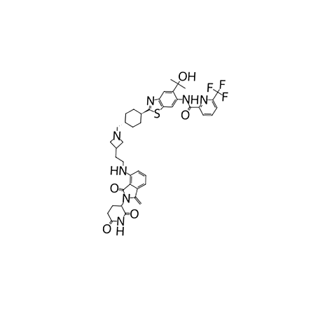 C=C1c2cccc(NCCC3CN(C[C@H]4CC[C@H](c5nc6cc(C(C)(C)O)c(NC(=O)c7cccc(C(F)(F)F)n7)cc6s5)CC4)C3)c2C(=O)N1C1CCC(=O)NC1=O